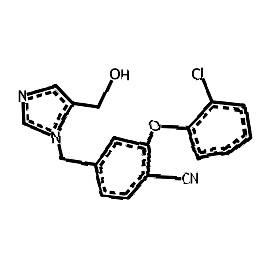 N#Cc1ccc(Cn2cncc2CO)cc1Oc1ccccc1Cl